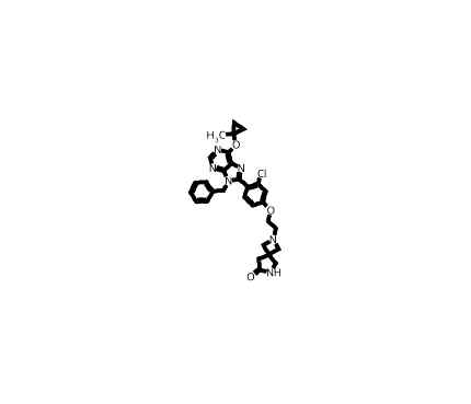 CC1(Oc2ncnc3c2nc(-c2ccc(OCCN4CC5(CNC(=O)C5)C4)cc2Cl)n3Cc2ccccc2)CC1